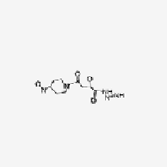 N=NNC(=O)C(=O)CC(=O)N1CCC(N=O)CC1